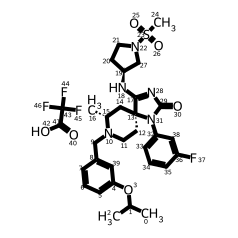 CC(C)Oc1cccc(CN2CC[C@]3(C[C@H]2C)C(N[C@H]2CCN(S(C)(=O)=O)C2)=NC(=O)N3c2cccc(F)c2)c1.O=C(O)C(F)(F)F